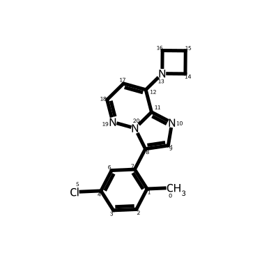 Cc1ccc(Cl)cc1-c1[c]nc2c(N3CCC3)ccnn12